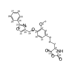 COc1cc(CCCC2NC(=O)OC2=O)ccc1OCc1coc(-c2ccccc2)n1